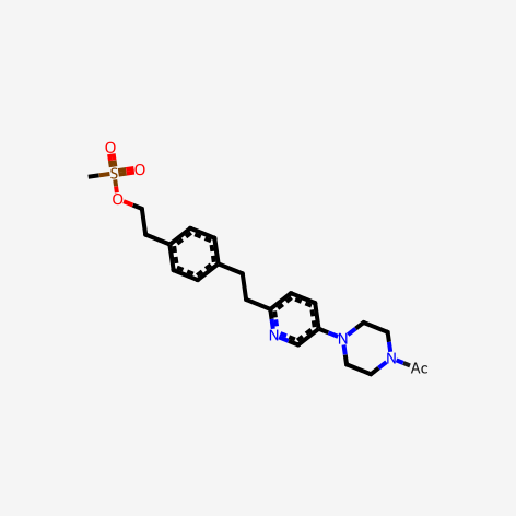 CC(=O)N1CCN(c2ccc(CCc3ccc(CCOS(C)(=O)=O)cc3)nc2)CC1